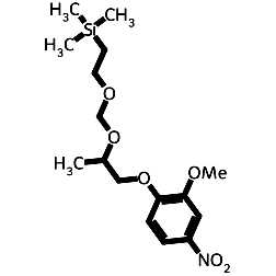 COc1cc([N+](=O)[O-])ccc1OCC(C)OCOCC[Si](C)(C)C